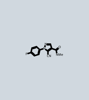 CNC(=O)c1cnn(-c2ccc(F)cc2)c1C#N